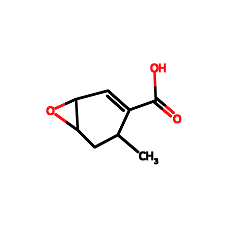 CC1CC2OC2C=C1C(=O)O